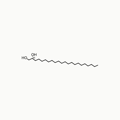 CCCCCCCCCCCCCCCCCCCC[C@@H](O)CO